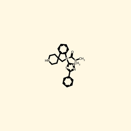 CN(C)C(=O)[N+]1(c2nnc(-c3ccccc3)s2)CC2(CCNCC2)c2ccccc21